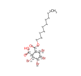 CCCCCCCCCCOC(=O)c1c(Br)c(Br)c(Br)c(Br)c1C(=O)O